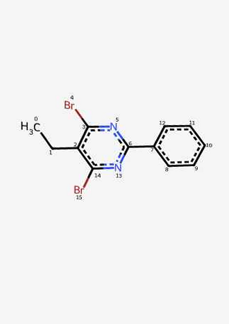 CCc1c(Br)nc(-c2ccccc2)nc1Br